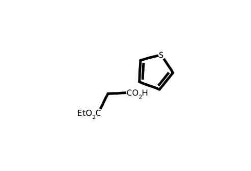 CCOC(=O)CC(=O)O.c1ccsc1